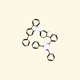 C1=C2Oc3cccc(C4N=C(c5ccccc5)N=C(c5ccccc5)N4)c3C2CC=C1n1c2ccccc2c2ccc(-c3ccccc3)cc21